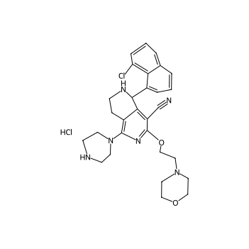 Cl.N#Cc1c(OCCN2CCOCC2)nc(N2CCNCC2)c2c1C(c1cccc3cccc(Cl)c13)NCC2